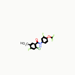 O=C(O)c1cc(C(=O)Nc2ccc(OC(F)F)c(F)c2)c(Cl)cc1F